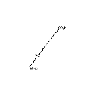 CCCCCC/C=C\CCCCCCCC(=O)OCCCCCCCCCCCCCCCCCCCCCCC(=O)O